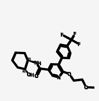 COCCOc1ncc(C(=O)N[C@@H]2CCCC[C@H]2O)cc1-c1ccc(C(F)(F)F)cc1